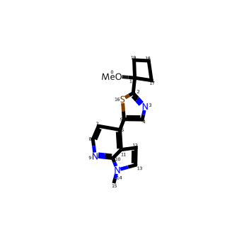 COC1(c2ncc(-c3ccnc4c3ccn4C)s2)CCC1